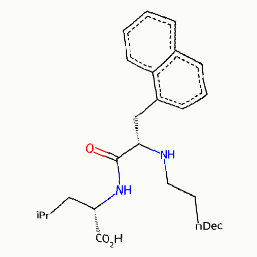 CCCCCCCCCCCCN[C@@H](Cc1cccc2ccccc12)C(=O)N[C@@H](CC(C)C)C(=O)O